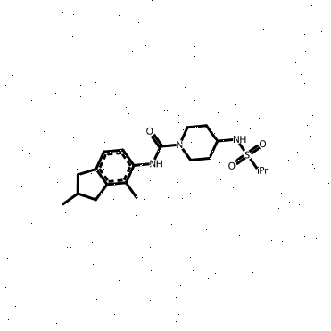 Cc1c(NC(=O)N2CCC(NS(=O)(=O)C(C)C)CC2)ccc2c1CC(C)C2